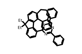 CCC1(CC)c2cccc(-c3nc(-c4ccccc4)nc(-c4ccccc4)n3)c2-c2c1ccc1c2-c2ccccc2CCC1